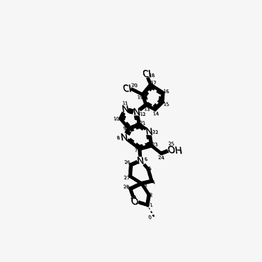 C[C@H]1CC2(CCN(c3nc4cnn(-c5cccc(Cl)c5Cl)c4nc3CO)CC2)CO1